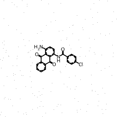 Nc1ccc(NC(=O)c2ccc(Cl)cc2)c2c1C(=O)c1ccccc1C2=O